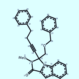 CON1C(=O)c2cc3ccccc3n2C1(C#CCCc1ccccc1)COCc1ccccc1